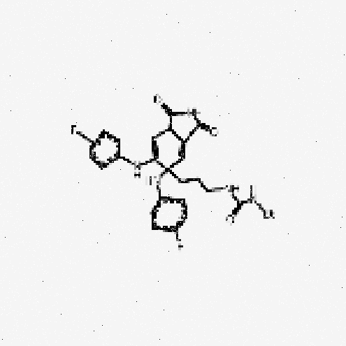 CCNC(=O)NCCCC1(Nc2ccc(F)cc2)C=C2C(=O)NC(=O)C2C=C1Nc1ccc(F)cc1